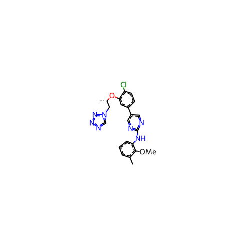 COc1c(C)cccc1Nc1ncc(-c2ccc(Cl)c(O[C@@H](C)Cn3cnnn3)c2)cn1